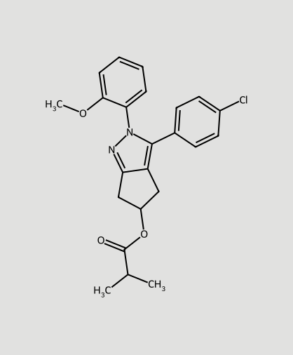 COc1ccccc1-n1nc2c(c1-c1ccc(Cl)cc1)CC(OC(=O)C(C)C)C2